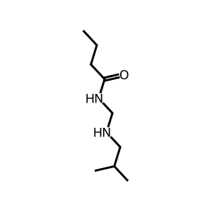 CCCC(=O)NCNCC(C)C